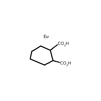 O=C(O)C1CCCCC1C(=O)O.[Eu]